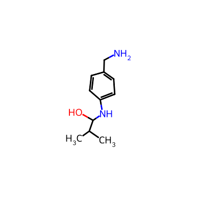 CC(C)C(O)Nc1ccc(CN)cc1